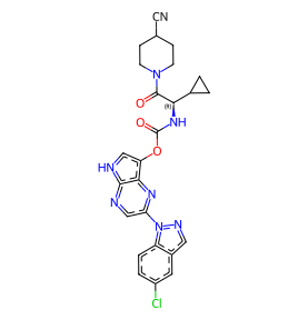 N#CC1CCN(C(=O)[C@H](NC(=O)Oc2c[nH]c3ncc(-n4ncc5cc(Cl)ccc54)nc23)C2CC2)CC1